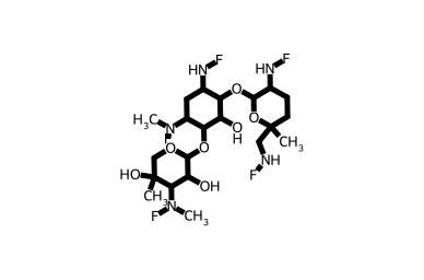 CN(F)C1CC(NF)C(OC2OC(C)(CNF)CCC2NF)C(O)C1OC1OCC(C)(O)C(N(C)F)C1O